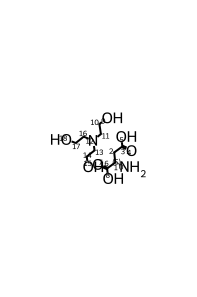 N[C@@H](CC(=O)O)C(=O)O.OCCN(CCO)CCO